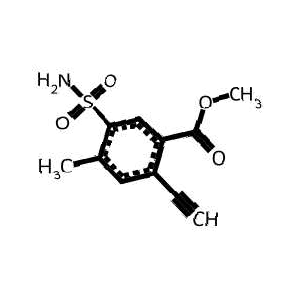 C#Cc1cc(C)c(S(N)(=O)=O)cc1C(=O)OC